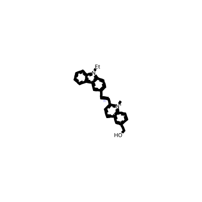 CCn1c2ccccc2c2cc(/C=C/c3ccc4cc(CO)ccc4[n+]3C)ccc21